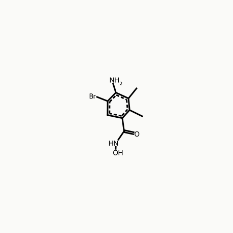 Cc1c(C(=O)NO)cc(Br)c(N)c1C